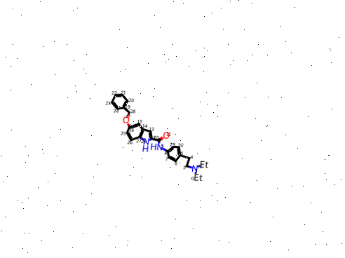 CCN(CC)CCc1ccc(NC(=O)c2cc3cc(OCc4ccccc4)ccc3[nH]2)cc1